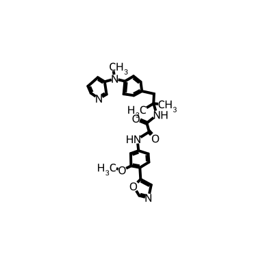 COc1cc(NC(=O)C(=O)NC(C)(C)Cc2ccc(N(C)c3cccnc3)cc2)ccc1-c1cnco1